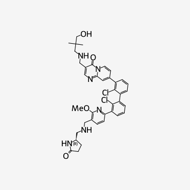 COc1nc(-c2cccc(-c3cccc(-c4ccn5c(=O)c(CNCC(C)(C)CO)cnc5c4)c3Cl)c2Cl)ccc1CNC[C@H]1CCC(=O)N1